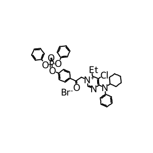 CCc1c(Cl)c(N(c2ccccc2)C2CCCCC2)nc[n+]1CC(=O)c1ccc(OP(=O)(Oc2ccccc2)Oc2ccccc2)cc1.[Br-]